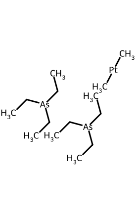 CC[As](CC)CC.CC[As](CC)CC.[CH3][Pt][CH3]